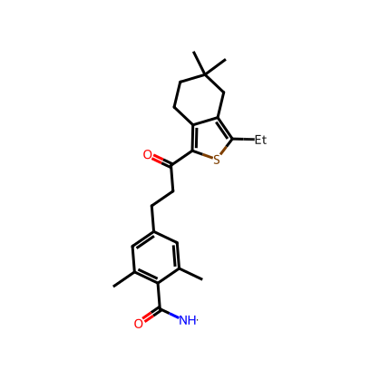 CCc1sc(C(=O)CCc2cc(C)c(C([NH])=O)c(C)c2)c2c1CC(C)(C)CC2